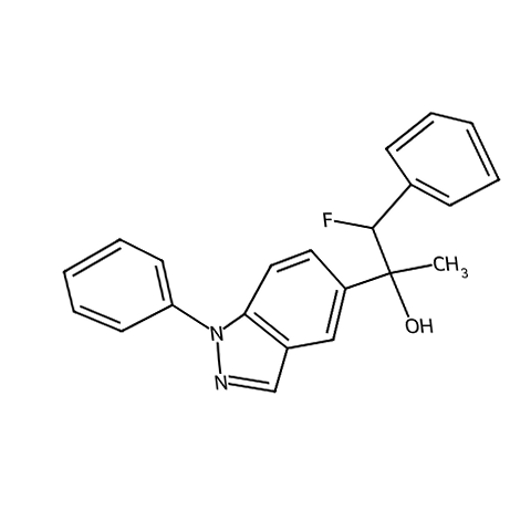 CC(O)(c1ccc2c(cnn2-c2ccccc2)c1)C(F)c1ccccc1